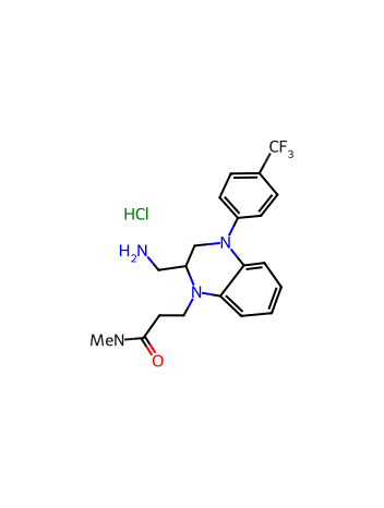 CNC(=O)CCN1c2ccccc2N(c2ccc(C(F)(F)F)cc2)CC1CN.Cl